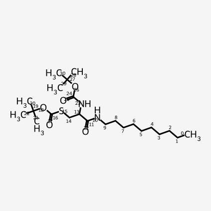 CCCCCCCCCCNC(=O)C(CSC(=O)OC(C)(C)C)NC(=O)OC(C)(C)C